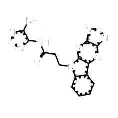 Nc1nonc1NC(=O)CCn1c2ccccc2c2nc3nonc3nc21